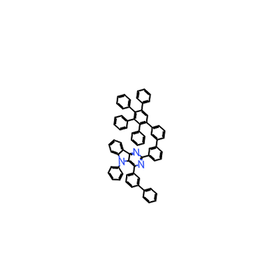 c1ccc(-c2cccc(-c3nc(-c4cccc(-c5cccc(-c6cc(-c7ccccc7)c(-c7ccccc7)c(-c7ccccc7)c6-c6ccccc6)c5)c4)nc4c5ccccc5n(-c5ccccc5)c34)c2)cc1